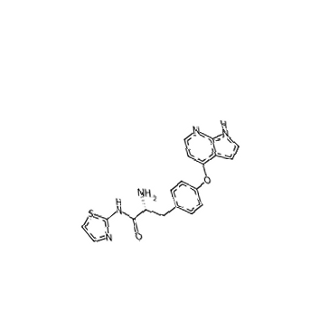 N[C@H](Cc1ccc(Oc2ccnc3[nH]ccc23)cc1)C(=O)Nc1nccs1